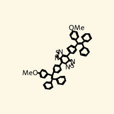 COc1ccc(C(=C(c2ccccc2)c2ccccc2)c2ccc(-c3c4c(c(-c5ccc(C(=C(c6ccccc6)c6ccccc6)c6ccc(OC)cc6)cc5)c5nsnc35)N=S=N4)cc2)cc1